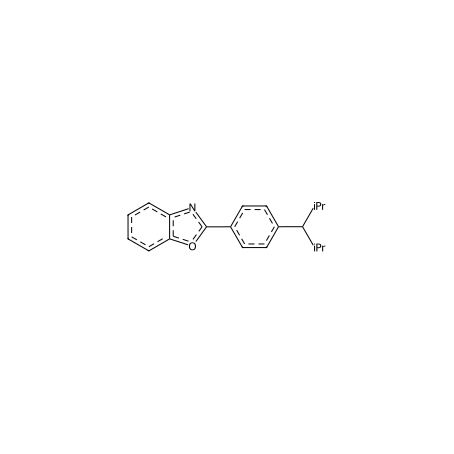 CC(C)C(c1ccc(-c2nc3ccccc3o2)cc1)C(C)C